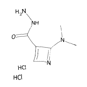 CN(C)C1=NC=C1C(=O)NN.Cl.Cl